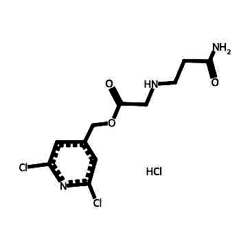 Cl.NC(=O)CCNCC(=O)OCc1cc(Cl)nc(Cl)c1